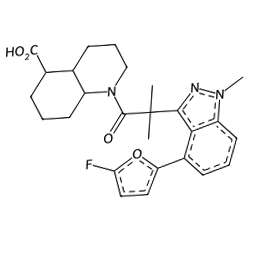 Cn1nc(C(C)(C)C(=O)N2CCCC3C(C(=O)O)CCCC32)c2c(-c3ccc(F)o3)cccc21